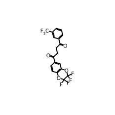 O=C(CCC(=O)c1ccc2c(c1)OC(F)(F)C(F)(F)O2)c1cccc(C(F)(F)F)c1